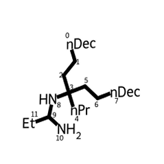 CCCCCCCCCCCCC(CCC)(CCCCCCCCCCCC)NC(N)CC